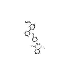 CNc1nccc(-c2cccnc2Oc2ccc(NC(=O)c3ccccc3N)cc2)n1